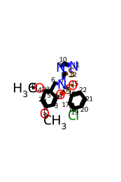 COc1ccc(CN(c2ncns2)S(=O)(=O)c2[c]c(Cl)ccc2)c(OC)c1